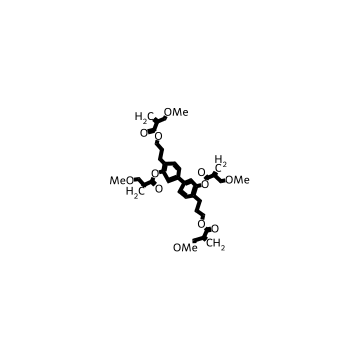 C=C(COC)C(=O)OCCCc1ccc(-c2ccc(CCCOC(=O)C(=C)COC)c(OC(=O)C(=C)COC)c2)cc1OC(=O)C(=C)COC